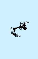 CCCc1nc2c(NC(=O)CCCCCN(CC)CCCNC(=O)OC(C)(C)C)nc3ccccc3c2s1